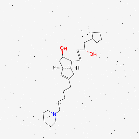 O[C@H](/C=C/[C@@H]1[C@H]2CC(CCCCCN3CCCCC3)=C[C@H]2C[C@H]1O)CC1CCCC1